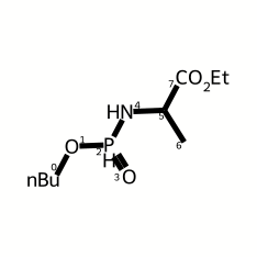 CCCCO[PH](=O)NC(C)C(=O)OCC